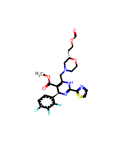 COC(=O)C1=C(CN2CCO[C@@H](CCOC=O)C2)NC(c2nccs2)=N[C@H]1c1ccc(F)c(F)c1F